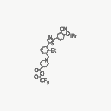 CCc1c(CN2CCC(C(=O)OC(=O)C(F)(F)F)CC2)cccc1-c1cnc(-c2ccc(OC(C)C)c(C#N)c2)s1